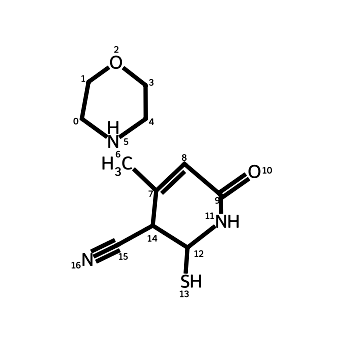 C1COCCN1.CC1=CC(=O)NC(S)C1C#N